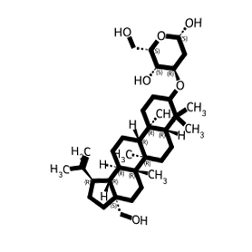 C=C(C)[C@@H]1CC[C@]2(CO)CC[C@]3(C)[C@H](CC[C@@H]4[C@@]5(C)CCC(O[C@@H]6C[C@@H](O)O[C@@H](CO)[C@H]6O)C(C)(C)[C@@H]5CC[C@]43C)[C@@H]12